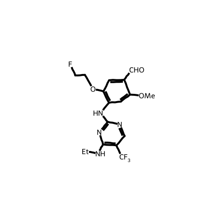 CCNc1nc(Nc2cc(OC)c(C=O)cc2OCCF)ncc1C(F)(F)F